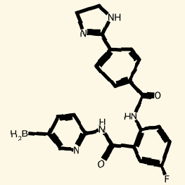 Bc1ccc(NC(=O)c2cc(F)ccc2NC(=O)c2ccc(C3=NCCN3)cc2)nc1